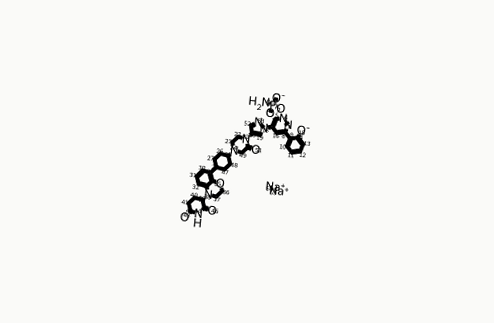 NP(=O)([O-])Oc1nnc(-c2ccccc2[O-])cc1-n1cc(N2CCN(C3CCC(c4cccc5c4OCCN5[C@H]4CCC(=O)NC4=O)CC3)CC2=O)cn1.[Na+].[Na+]